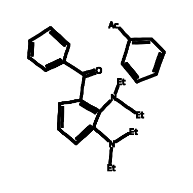 CC(=O)c1ccccc1.CCN(CC)c1cccc(C(=O)c2ccccc2)c1N(CC)CC